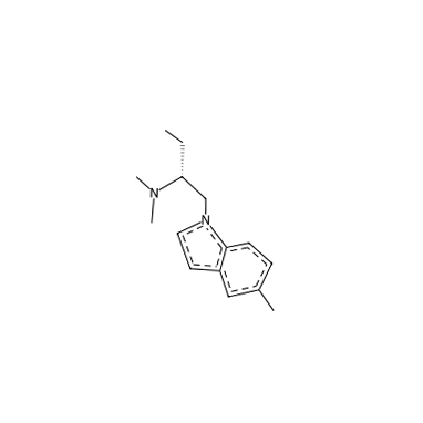 CC[C@H](Cn1ccc2cc(C)ccc21)N(C)C